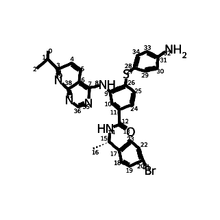 CC(C)c1ccc2c(Nc3cc(C(=O)N[C@@H](C)c4ccc(Br)cc4)ccc3Sc3ccc(N)cc3)ncnc2n1